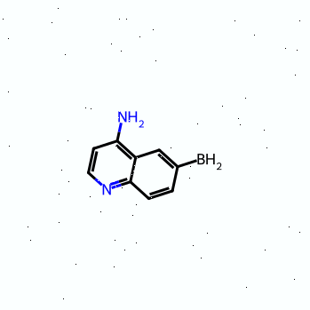 Bc1ccc2nccc(N)c2c1